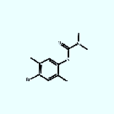 Cc1cc(SC(=O)N(C)C)c(C)cc1Br